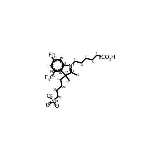 CC1=[N+](CCCCCC(=O)O)c2cc(F)cc(C(F)(F)F)c2C1(C)CCCCS(=O)(=O)[O-]